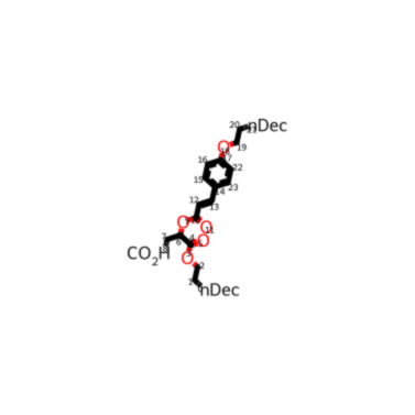 CCCCCCCCCCCCOC(=O)C(CC(=O)O)OC(=O)/C=C/c1ccc(OCCCCCCCCCCCC)cc1